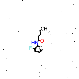 CCCCC(=O)Nc1ccccc1F